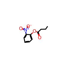 CCCC(=O)Oc1ccccc1[N+](=O)[O-]